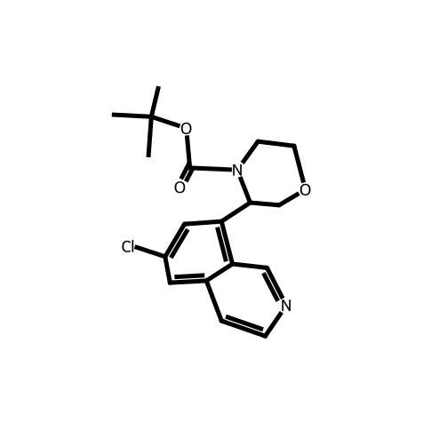 CC(C)(C)OC(=O)N1CCOCC1c1cc(Cl)cc2ccncc12